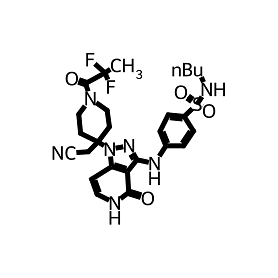 CCCCNS(=O)(=O)c1ccc(Nc2nn(C3(CC#N)CCN(C(=O)C(C)(F)F)CC3)c3cc[nH]c(=O)c23)cc1